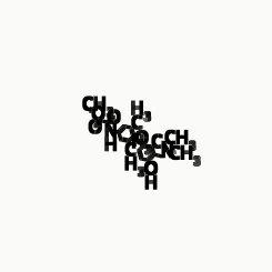 CCOC(=O)C(=O)Nc1cc(C)c(Oc2ccc(O)c(CN(C)C(C)C)c2)c(C)c1